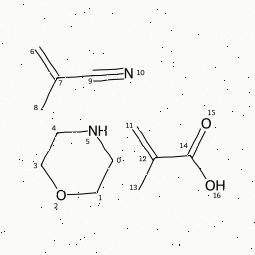 C1COCCN1.C=C(C)C#N.C=C(C)C(=O)O